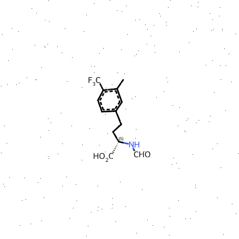 Cc1cc(CC[C@H](NC=O)C(=O)O)ccc1C(F)(F)F